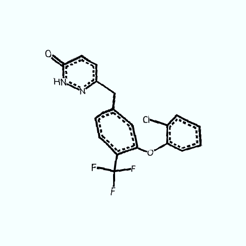 O=c1ccc(Cc2ccc(C(F)(F)F)c(Oc3ccccc3Cl)c2)n[nH]1